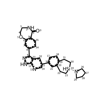 O=C1NCCOc2cc(-c3n[nH]c4ncc(-c5ccc6c(c5)CC[Si@@H](N5CCCC5)CC6)cc34)ccc21